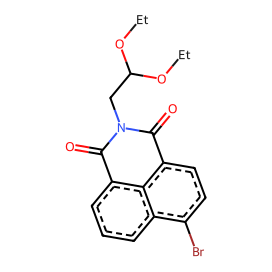 CCOC(CN1C(=O)c2cccc3c(Br)ccc(c23)C1=O)OCC